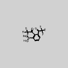 O=C(c1cccc(B(O)O)c1C(=O)C(F)(F)F)C(F)(F)F